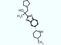 C[C@H]1CC[C@H](c2ccc3sc([C@](C)(O)CN4CCCC4)nc3c2)NC1